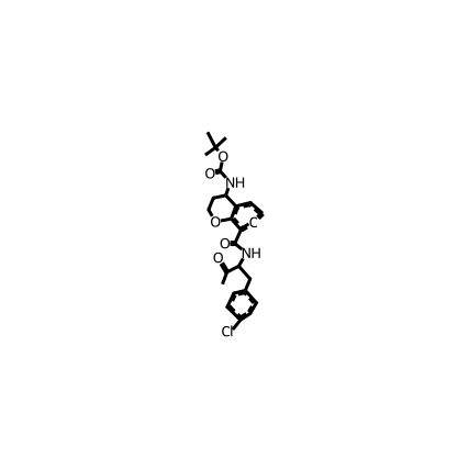 CC(=O)C(Cc1ccc(Cl)cc1)NC(=O)c1cccc2c1OCCC2NC(=O)OC(C)(C)C